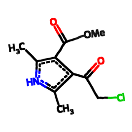 COC(=O)c1c(C)[nH]c(C)c1C(=O)CCl